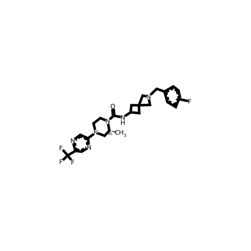 C[C@@H]1CN(c2cnc(C(F)(F)F)cn2)CCN1C(=O)NC1CC2(C1)CN(Cc1ccc(F)cc1)C2